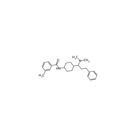 Cc1cccc(C(=O)NC2CCC(C(CCc3ccccc3)N(C)C)CC2)c1